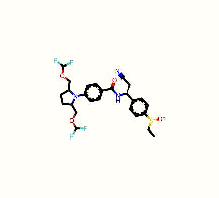 CC[S+]([O-])c1ccc([C@H](CC#N)NC(=O)c2ccc(N3C(COC(F)F)CCC3COC(F)F)cc2)cc1